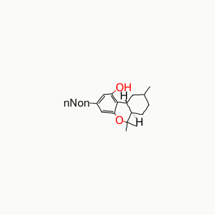 CCCCCCCCCc1cc(O)c2c(c1)OC(C)(C)[C@@H]1CCC(C)C[C@@H]21